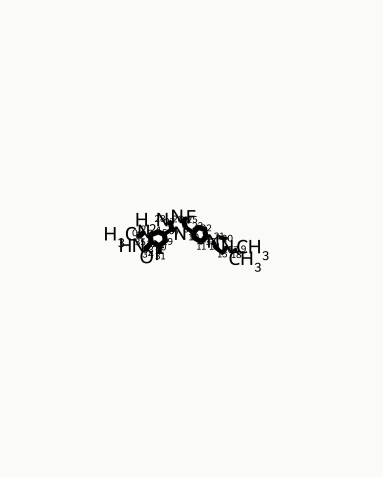 Cc1nc2cc(-c3nc(-c4ccc(N5CCN(C(C)C)CC5)cc4)c(F)nc3N)cc(F)c2c(=O)[nH]1